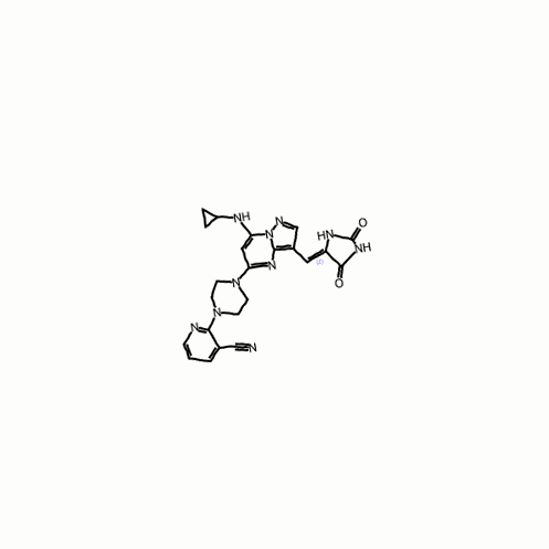 N#Cc1cccnc1N1CCN(c2cc(NC3CC3)n3ncc(/C=C4\NC(=O)NC4=O)c3n2)CC1